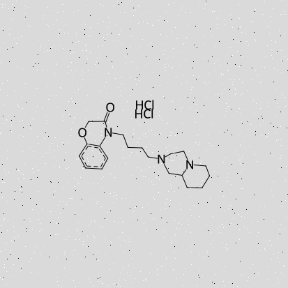 Cl.Cl.O=C1COc2ccccc2N1CCCCN1CCN2CCCCC2C1